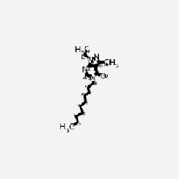 CCCCCCCCCCn1cnc2c(c(C)nn2CC)c1=O